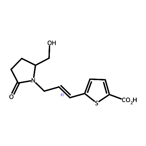 O=C(O)c1ccc(/C=C/CN2C(=O)CCC2CO)s1